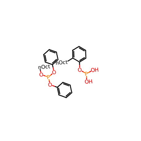 CCCCCCCCOP(Oc1ccccc1)Oc1ccccc1.CCCCCCCCc1ccccc1OP(O)O